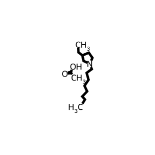 CC(=O)O.CCCCCCCCN1CCC(CC)C1